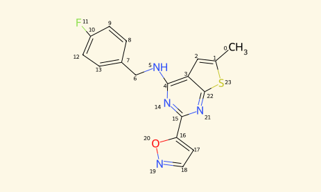 Cc1cc2c(NCc3ccc(F)cc3)nc(-c3ccno3)nc2s1